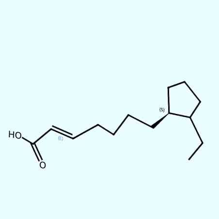 CCC1CCC[C@@H]1CCCC/C=C/C(=O)O